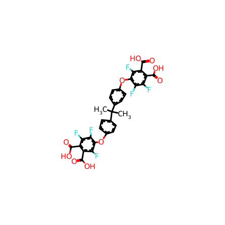 CC(C)(c1ccc(Oc2c(F)c(F)c(C(=O)O)c(C(=O)O)c2F)cc1)c1ccc(Oc2c(F)c(F)c(C(=O)O)c(C(=O)O)c2F)cc1